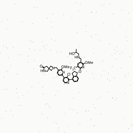 COc1nc(-c2ccnc(-c3cccc4c3CC[C@@H]4Oc3nc(OC)c(CNCC(C)O)cc3C(F)(F)F)c2Cl)ccc1CN1CC2(CNC(=O)C2)C1